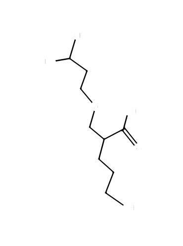 CCCCC(COCCC(C)C)C(=O)O